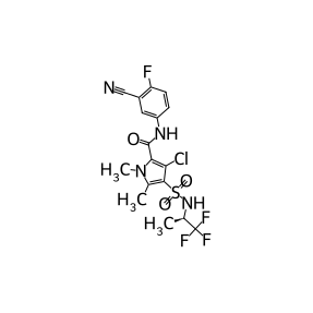 Cc1c(S(=O)(=O)N[C@H](C)C(F)(F)F)c(Cl)c(C(=O)Nc2ccc(F)c(C#N)c2)n1C